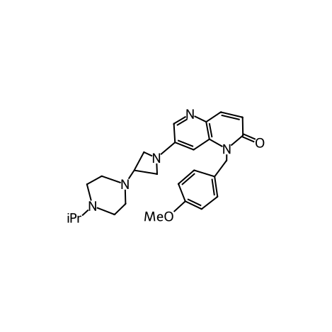 COc1ccc(Cn2c(=O)ccc3ncc(N4CC(N5CCN(C(C)C)CC5)C4)cc32)cc1